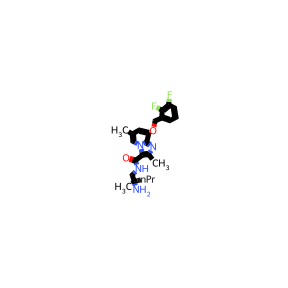 CCCC(C)(N)CNC(=O)c1c(C)nc2c(OCc3cccc(F)c3F)cc(C)cn12